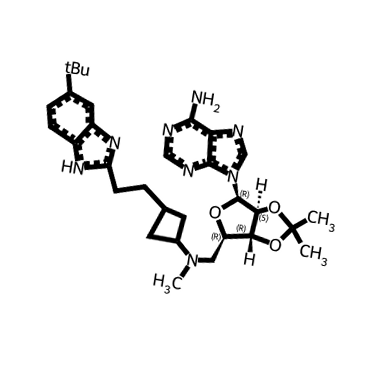 CN(C[C@H]1O[C@@H](n2cnc3c(N)ncnc32)[C@H]2OC(C)(C)O[C@@H]21)C1CC(CCc2nc3cc(C(C)(C)C)ccc3[nH]2)C1